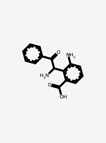 Nc1cccc(C(=O)O)c1C(N)C(=O)c1ccccc1